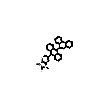 Cn1c(=O)n(C)c2ncc(-c3c4ccccc4c(-c4cc5ccccc5c5ccccc45)c4ccccc34)cc21